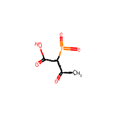 CC(=O)C(C(=O)O)P(=O)=O